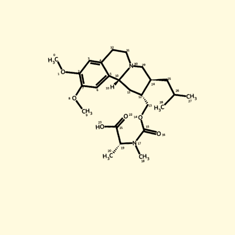 COc1cc2c(cc1OC)[C@H]1C[C@@H](COC(=O)N(C)[C@H](C)C(=O)O)[C@H](CC(C)C)CN1CC2